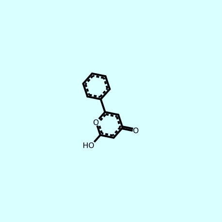 O=c1cc(O)oc(-c2ccccc2)c1